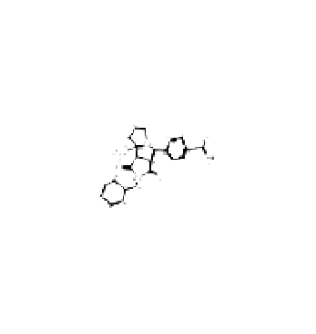 N=C(N)c1ccc(C2C3C(=O)N(CC4CCCCC4)C(=O)C3C3(C(=O)O)CCCN23)cc1